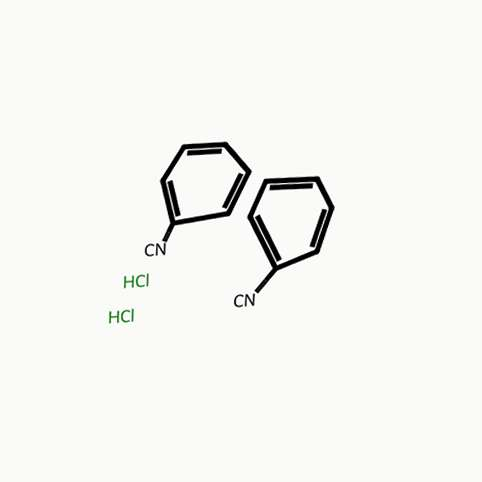 Cl.Cl.[C-]#[N+]c1ccccc1.[C-]#[N+]c1ccccc1